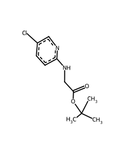 CC(C)(C)OC(=O)CNc1ccc(Cl)cn1